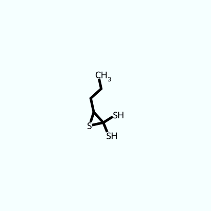 CCCC1SC1(S)S